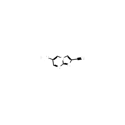 N#Cc1cn2cc(N)cnc2n1